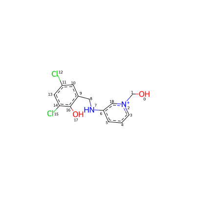 OC[n+]1cccc(NCc2cc(Cl)cc(Cl)c2O)c1